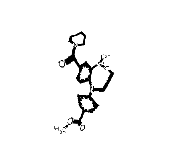 COC(=O)c1ccc(N2CCC[S+]([O-])c3cc(C(=O)N4CCCCC4)ccc32)cc1